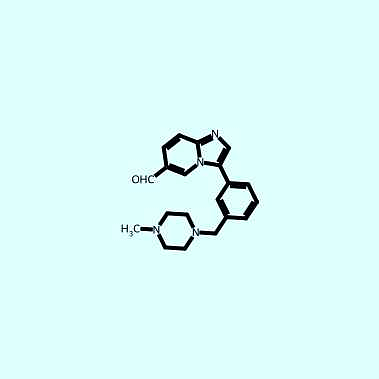 CN1CCN(Cc2cccc(-c3cnc4ccc(C=O)cn34)c2)CC1